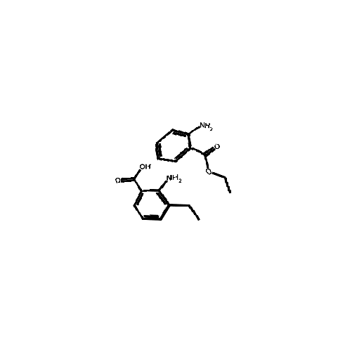 CCOC(=O)c1ccccc1N.CCc1cccc(C(=O)O)c1N